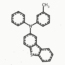 Cc1cccc(N(c2ccccc2)c2ccc3sc4ccccc4c3c2)c1